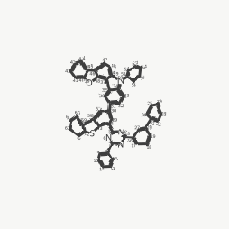 C1=c2sc3c(-c4nc(-c5ccccc5)nc(-c5cccc(-c6ccccc6)c5)n4)cc(-c4ccc5c(c4)c4c6oc7ccccc7c6ccc4n5-c4ccccc4)cc3c2=CCC1